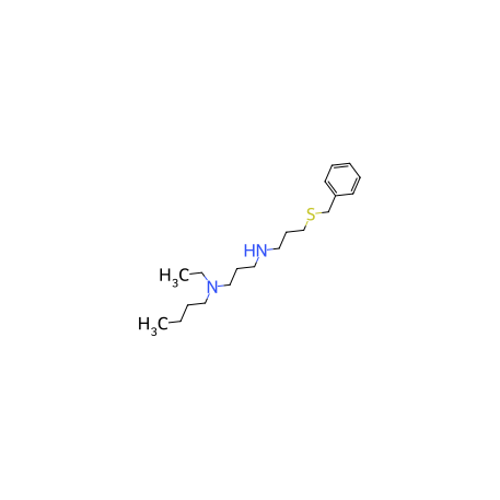 CCCCN(CC)CCCNCCCSCc1ccccc1